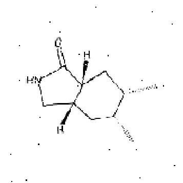 C[C@@H]1C[C@@H]2CNC(=O)[C@@H]2C[C@@H]1C